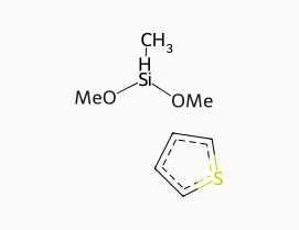 CO[SiH](C)OC.c1ccsc1